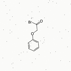 O=C(Br)COc1ccccc1